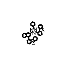 C1=CC(c2nc(-c3cc(-c4cccc5oc6ccccc6c45)c4ccccc4c3)nc(-c3cccc4sc5ccccc5c34)n2)=CCC1